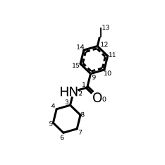 O=C(NC1CCCCC1)c1ccc(I)cc1